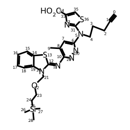 C#CCCCN(c1cc(C)c(/N=c2\sc3ccccc3n2COCC[Si](C)(C)C)nn1)c1nc(C(=O)O)cs1